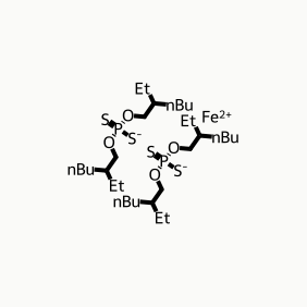 CCCCC(CC)COP(=S)([S-])OCC(CC)CCCC.CCCCC(CC)COP(=S)([S-])OCC(CC)CCCC.[Fe+2]